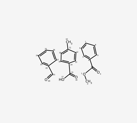 COC(=O)c1ccccc1.Cc1ccc(C(=O)O)cc1.O=Cc1ccccc1